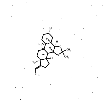 C/C=C1\CC[C@H]2[C@@H]3[C@H]4OC(C)(C)O[C@@H]4[C@H]4C[C@@H](O)CC[C@]4(C)[C@H]3CC[C@]12C